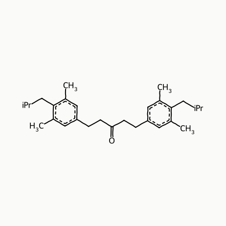 Cc1cc(CCC(=O)CCc2cc(C)c(CC(C)C)c(C)c2)cc(C)c1CC(C)C